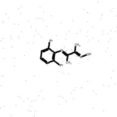 CC(=N\O)/C(C)=N/c1c(C(C)C)cccc1C(C)C